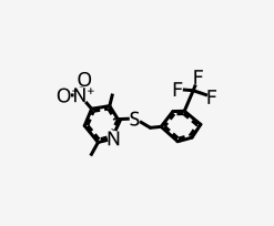 Cc1cc([N+](=O)[O-])c(C)c(SCc2cccc(C(F)(F)F)c2)n1